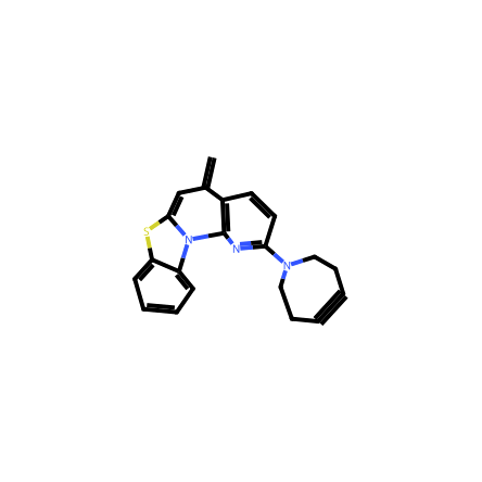 C=C1C=C2Sc3ccccc3N2c2nc(N3CCC#CCC3)ccc21